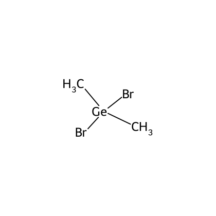 [CH3][Ge]([CH3])([Br])[Br]